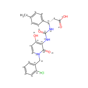 Cc1ccc([C@H](CC(=O)O)NC(=O)Nc2c(O)ccn(Cc3ccccc3Cl)c2=O)cc1